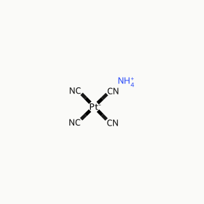 N#[C][Pt-]([C]#N)([C]#N)[C]#N.[NH4+]